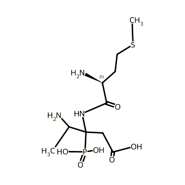 CSCC[C@H](N)C(=O)NC(CC(=O)O)(C(C)N)P(=O)(O)O